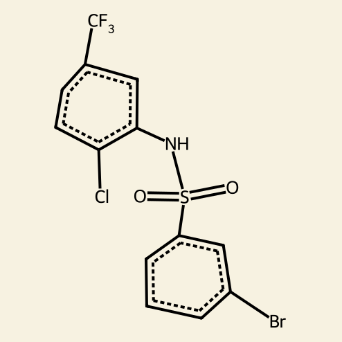 O=S(=O)(Nc1cc(C(F)(F)F)ccc1Cl)c1cccc(Br)c1